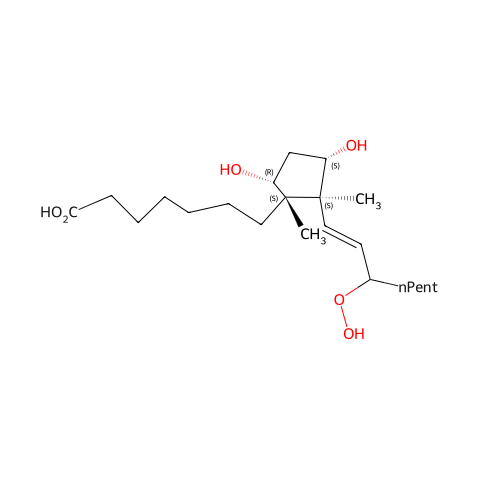 CCCCCC(C=C[C@]1(C)[C@@H](O)C[C@@H](O)[C@@]1(C)CCCCCCC(=O)O)OO